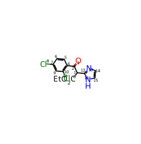 CCOC(=O)C(C(=O)c1ccc(Cl)cc1Cl)c1ncc[nH]1